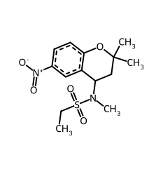 CCS(=O)(=O)N(C)C1CC(C)(C)Oc2ccc([N+](=O)[O-])cc21